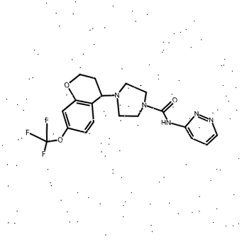 O=C(Nc1cccnn1)N1CCN(C2CCOc3cc(OC(F)(F)F)ccc32)CC1